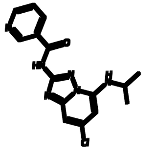 CC(C)Nc1cc(Cl)cc2nc(NC(=O)c3cccnc3)nn12